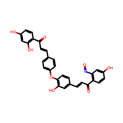 O=Nc1cc(O)ccc1C(=O)/C=C/c1ccc(Oc2ccc(/C=C/C(=O)c3ccc(O)cc3O)cc2)c(O)c1